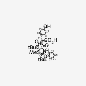 CSC[C@@H](C(=O)N(C(=O)OC(C)(C)C)[C@@H](Cc1ccc(O)cc1)C(=O)O)N(Cc1ccccc1)C(=O)OC(C)(C)C